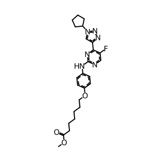 COC(=O)CCCCCCOc1ccc(Nc2ncc(F)c(-c3cn(C4CCCC4)nn3)n2)cc1